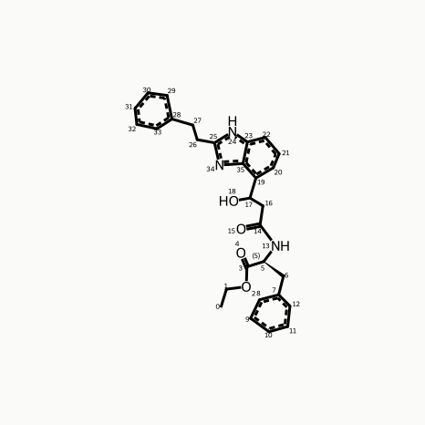 CCOC(=O)[C@H](Cc1ccccc1)NC(=O)CC(O)c1cccc2[nH]c(CCc3ccccc3)nc12